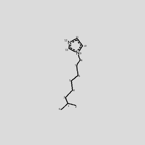 CC(C)CCCCCCn1ccnc1